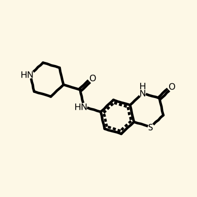 O=C1CSc2ccc(NC(=O)C3CCNCC3)cc2N1